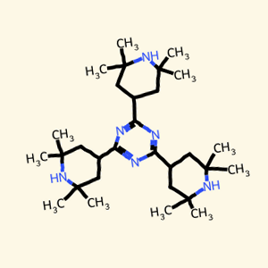 CC1(C)CC(c2nc(C3CC(C)(C)NC(C)(C)C3)nc(C3CC(C)(C)NC(C)(C)C3)n2)CC(C)(C)N1